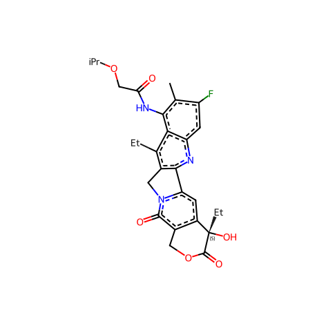 CCc1c2c(nc3cc(F)c(C)c(NC(=O)COC(C)C)c13)-c1cc3c(c(=O)n1C2)COC(=O)[C@]3(O)CC